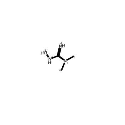 CN(C)C(=N)NO